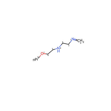 C=NCCNCCOCCC